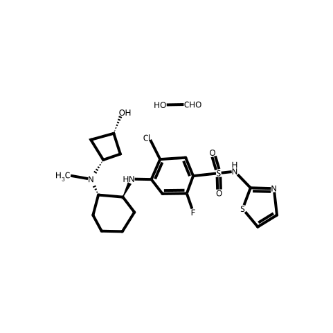 CN([C@H]1C[C@@H](O)C1)[C@H]1CCCC[C@@H]1Nc1cc(F)c(S(=O)(=O)Nc2nccs2)cc1Cl.O=CO